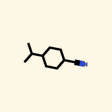 CC(C)C1CCC(C#N)CC1